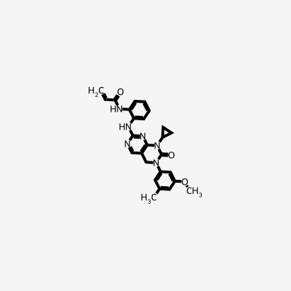 C=CC(=O)Nc1ccccc1Nc1ncc2c(n1)N(C1CC1)C(=O)N(c1cc(C)cc(OC)c1)C2